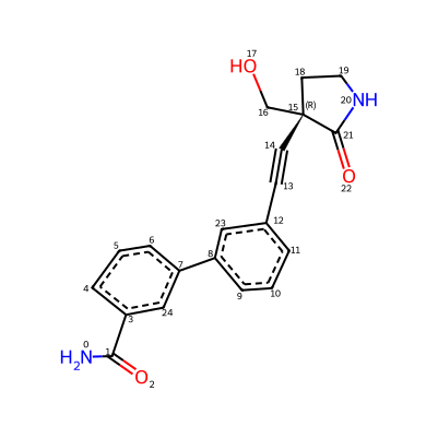 NC(=O)c1cccc(-c2cccc(C#C[C@@]3(CO)CCNC3=O)c2)c1